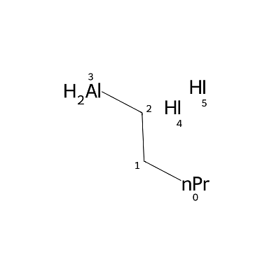 CCCC[CH2][AlH2].I.I